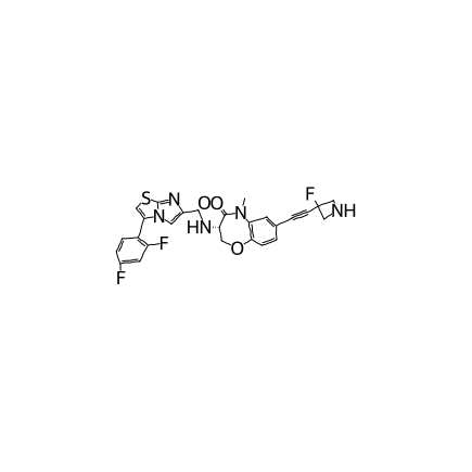 CN1C(=O)[C@@H](NC(=O)c2cn3c(-c4ccc(F)cc4F)csc3n2)COc2ccc(C#CC3(F)CNC3)cc21